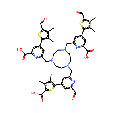 Cc1c(C=O)sc(-c2cc(CN3CCN(Cc4cc(-c5sc(C(=O)O)c(C)c5C)cc(C=O)n4)CCN(Cc4cc(-c5sc(C=O)c(C)c5C)cc(C(=O)O)n4)CC3)nc(C(=O)O)c2)c1C